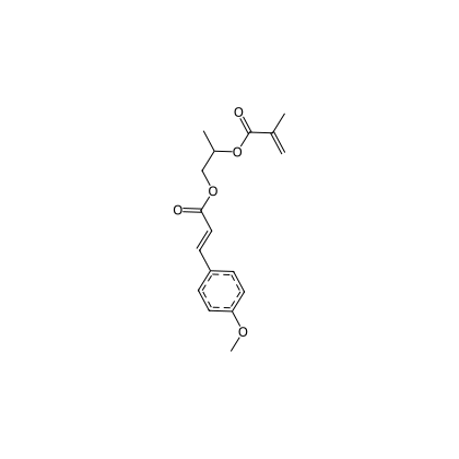 C=C(C)C(=O)OC(C)COC(=O)C=Cc1ccc(OC)cc1